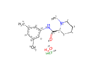 CCCN1CCCC[C@H]1C(=O)Nc1cc(C)cc(C)c1.Cl.O